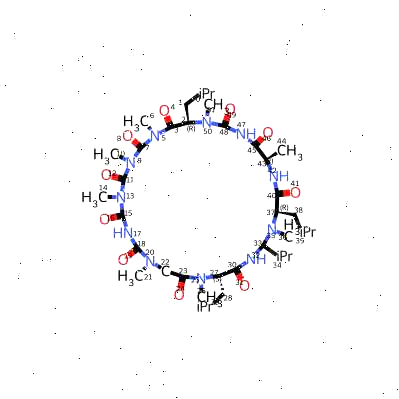 CC(C)C[C@@H]1C(=O)N(C)C(=O)N(C)C(=O)N(C)C(=O)NC(=O)N(C)CC(=O)N(C)[C@@H](CC(C)C)C(=O)NC(C(C)C)N(C)[C@H](CC(C)C)C(=O)N[C@H](C)C(=O)NC(=O)N1C